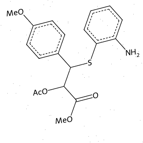 COC(=O)C(OC(C)=O)C(Sc1ccccc1N)c1ccc(OC)cc1